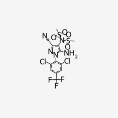 CS(=O)(=O)N(c1c(C#N)nn(-c2c(Cl)cc(C(F)(F)F)cc2Cl)c1N)S(C)(=O)=O